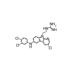 N=C(N)NCCn1c2ccc(Nc3ccc(Cl)c(Cl)c3)cc2c2cc(Cl)cnc21